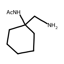 CC(=O)NC1(CN)CCCCC1